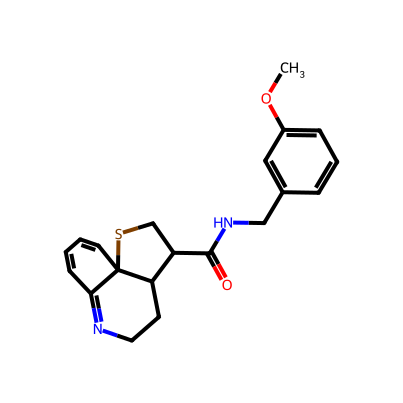 COc1cccc(CNC(=O)C2CSC34C=CC=CC3=NCCC24)c1